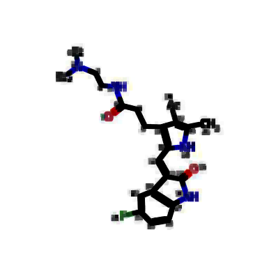 CCN(CC)CCNC(=O)CCc1c(C=C2C(=O)Nc3ccc(F)cc32)[nH]c(C)c1C(C)=O